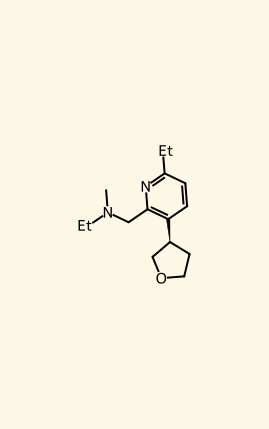 CCc1ccc([C@H]2CCOC2)c(CN(C)CC)n1